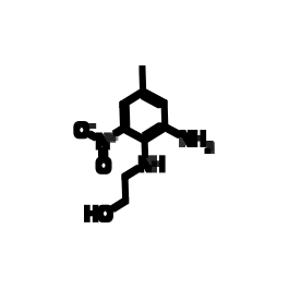 Cc1cc(N)c(NCCO)c([N+](=O)[O-])c1